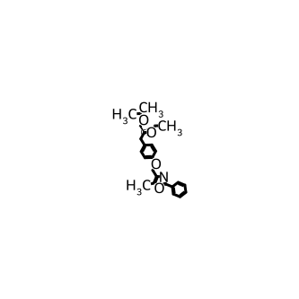 CCO[C@H](COC(C)C)Cc1ccc(OCc2nc(-c3ccccc3)oc2C)cc1